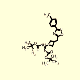 Cc1ccc(-c2noc(CC3CN(/C(=N\C(=O)OC(C)(C)C)NC(=O)OC(C)(C)C)C3)n2)cc1